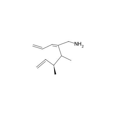 C=C/C=C(/CN)C(C)[C@@H](C)C=C